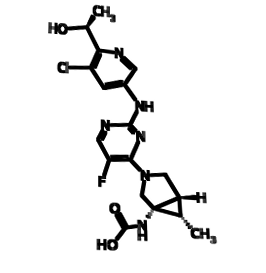 C[C@H](O)c1ncc(Nc2ncc(F)c(N3C[C@@H]4[C@H](C)[C@@]4(NC(=O)O)C3)n2)cc1Cl